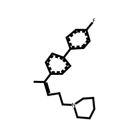 CC(=CCCN1CCCCC1)c1ccc(-c2ccc(F)cc2)cc1